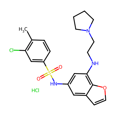 Cc1ccc(S(=O)(=O)Nc2cc(NCCN3CCCC3)c3occc3c2)cc1Cl.Cl